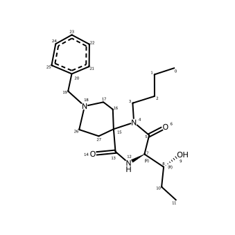 CCCCN1C(=O)[C@@H]([C@H](O)CC)NC(=O)C12CCN(Cc1ccccc1)CC2